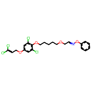 ClC(Cl)=CCOc1cc(Cl)c(OCCCCCOCC=NOc2ccccc2)c(Cl)c1